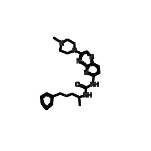 CC(CCCc1ccccc1)NC(=O)Nc1ccc2ncc(N3CCN(C)CC3)nc2n1